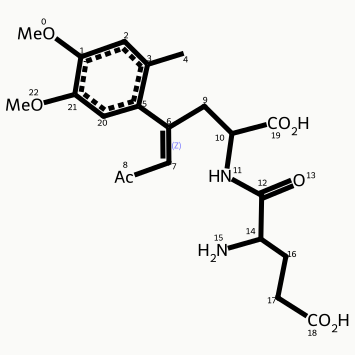 COc1cc(C)c(/C(=C\C(C)=O)CC(NC(=O)C(N)CCC(=O)O)C(=O)O)cc1OC